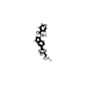 CCc1nc(-c2ccc3c(c2)CCC3NC(=O)c2ccncc2)no1